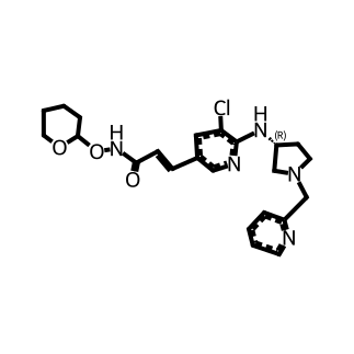 O=C(C=Cc1cnc(N[C@@H]2CCN(Cc3ccccn3)C2)c(Cl)c1)NOC1CCCCO1